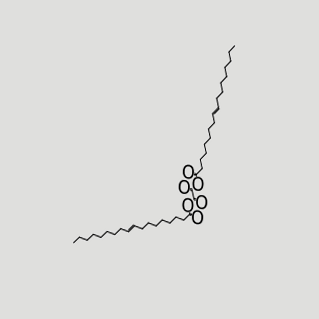 CCCCCCCCC=CCCCCCCCC(=O)OC(=O)C(=O)OC(=O)CCCCCCCC=CCCCCCCCC